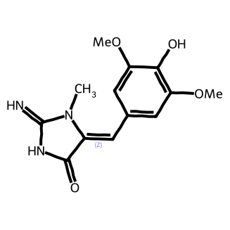 COc1cc(/C=C2/C(=O)NC(=N)N2C)cc(OC)c1O